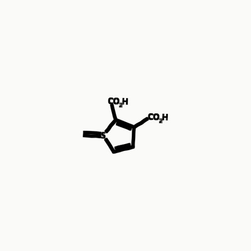 C=S1C=CC(C(=O)O)=C1C(=O)O